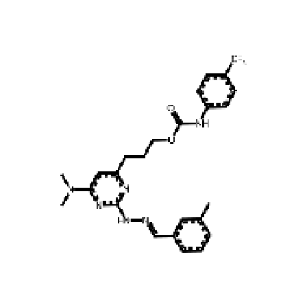 Cc1cccc(C=NNc2nc(CCCOC(=O)Nc3ccc(C(F)(F)F)cc3)cc(N(C)C)n2)c1